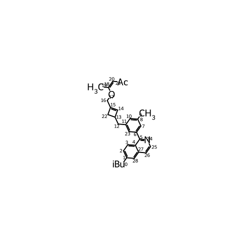 CCC(C)c1ccc2c(-c3cc(C)cc(CC4C=C(CO/C(C)=C\C(C)=O)C4)c3)nccc2c1